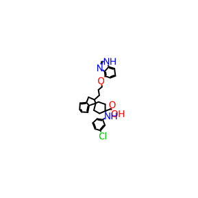 O=C(O)C1(Nc2cccc(Cl)c2)CCC2(CC1)c1ccccc1CC2CCCOc1cccc2[nH]cnc12